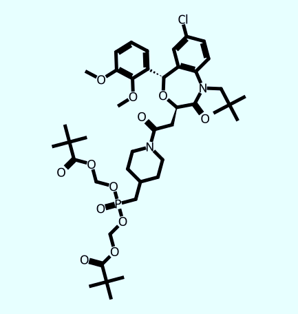 COc1cccc([C@H]2O[C@H](CC(=O)N3CCC(CP(=O)(OCOC(=O)C(C)(C)C)OCOC(=O)C(C)(C)C)CC3)C(=O)N(CC(C)(C)C)c3ccc(Cl)cc32)c1OC